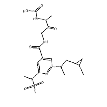 CC(NC(=O)O)C(=O)CNC(=O)c1cc(N(C)CC2CC2C)nc(N(C)S(C)(=O)=O)c1